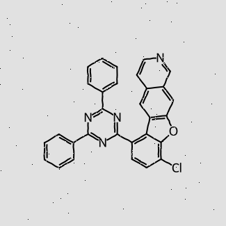 Clc1ccc(-c2nc(-c3ccccc3)nc(-c3ccccc3)n2)c2c1oc1cc3cnccc3cc12